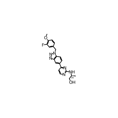 COc1ccc(Cn2nnc3cc(-c4ccnc(N[C@@H](C)CO)n4)ccc32)cc1F